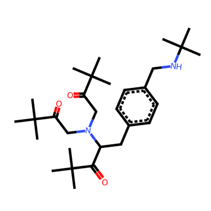 CC(C)(C)NCc1ccc(CC(C(=O)C(C)(C)C)N(CC(=O)C(C)(C)C)CC(=O)C(C)(C)C)cc1